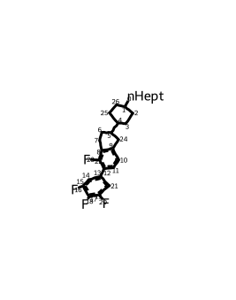 CCCCCCCC1CCC(C2CCc3c(ccc(-c4cc(F)c(F)c(F)c4)c3F)C2)CC1